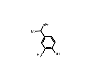 CC[CH]C(CC)c1ccc(O)c(C)c1